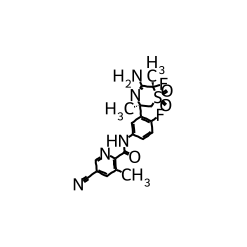 Cc1cc(C#N)cnc1C(=O)Nc1ccc(F)c([C@]2(C)CS(=O)(=O)[C@@](C)(F)C(N)=N2)c1